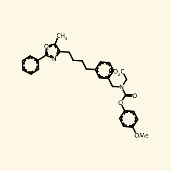 COc1ccc(OC(=O)N(CC(=O)O)Cc2cccc(CCCCc3nc(-c4ccccc4)oc3C)c2)cc1